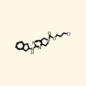 O=C(OCCCCl)N1CCc2nc(NC3Cc4ccccc4C3)ncc2C1